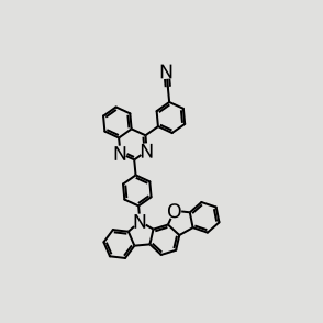 N#Cc1cccc(-c2nc(-c3ccc(-n4c5ccccc5c5ccc6c7ccccc7oc6c54)cc3)nc3ccccc23)c1